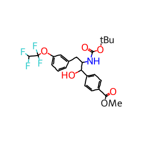 COC(=O)c1ccc(C(O)C(Cc2cccc(OC(F)(F)C(F)F)c2)NC(=O)OC(C)(C)C)cc1